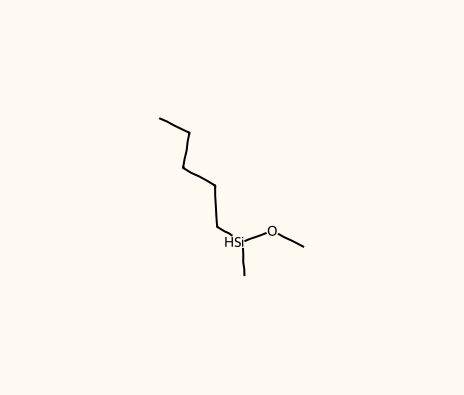 CCCCC[SiH](C)OC